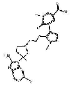 Cn1ncc(-c2cc(C(=O)O)cn(C)c2=O)c1OCCN1CCC(C)(n2c(N)nc3ccc(Br)cc32)C1